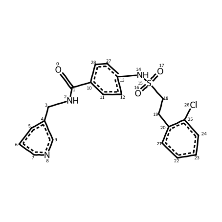 O=C(NCc1cccnc1)c1ccc(NS(=O)(=O)CCc2ccccc2Cl)cc1